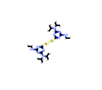 CCNc1nc(SSSSc2nc(NCC)nc(N(C(C)C)C(C)C)n2)nc(N(C(C)C)C(C)C)n1